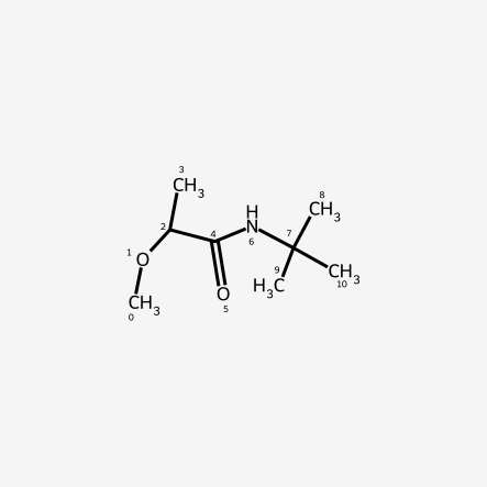 COC(C)C(=O)NC(C)(C)C